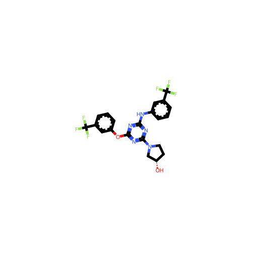 O[C@H]1CCN(c2nc(Nc3cccc(C(F)(F)F)c3)nc(Oc3cccc(C(F)(F)F)c3)n2)C1